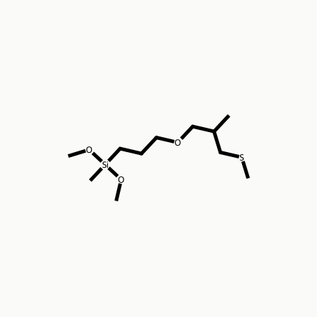 CO[Si](C)(CCCOCC(C)CSC)OC